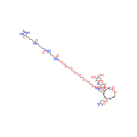 C=C1NC2CSC(CCCCC(=O)NCCCCCC(=O)NCCCCCC(=O)NCCOCCOCCOCCOCCOCCOCCOCCOCCNCCC[C@H]3C[C@@H](C)C(OC4CCC(N(C)C)C(C)O4)/C=C/C=C/CC(C)OC(=O)C[C@@H](C)C(OC)[C@H]3OC3OC(C)C(OC4CC(C)(O)C(O)C(C)O4)C(N(C)C)C3O)C2N1